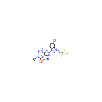 CNc1nc(-c2nn(CCC(F)(F)C(F)(F)F)c3cc(Cl)ccc23)nc2c1C(C)(C(=O)NC1CC1)C(=O)N2